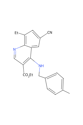 CCOC(=O)c1cnc2c(CC)cc(C#N)cc2c1NCc1ccc(C)cc1